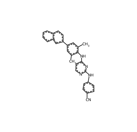 Cc1cc(-c2ccc3ccccc3c2)cc(C)c1Nc1ccnc(Nc2ccc(C#N)cc2)n1